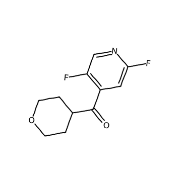 O=C(c1cc(F)ncc1F)C1CCOCC1